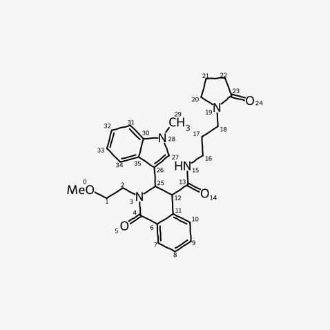 COCCN1C(=O)c2ccccc2C(C(=O)NCCCN2CCCC2=O)C1c1cn(C)c2ccccc12